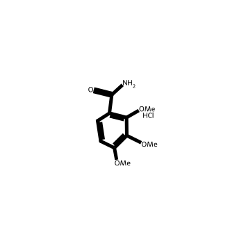 COc1ccc(C(N)=O)c(OC)c1OC.Cl